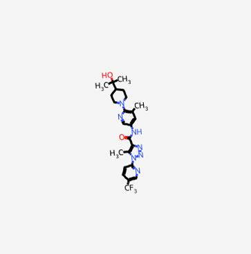 Cc1cc(NC(=O)c2nnn(-c3ccc(C(F)(F)F)cn3)c2C)cnc1N1CCC(C(C)(C)O)CC1